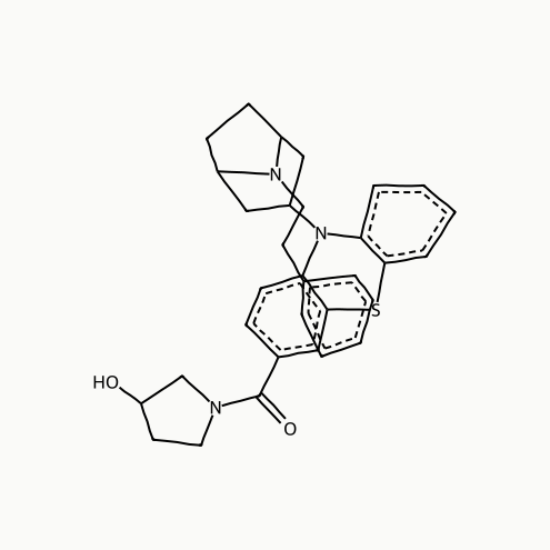 O=C(c1ccc2c(c1)Sc1ccccc1N2C1CC2CCC(C1)N2CCc1ccccc1)N1CCC(O)C1